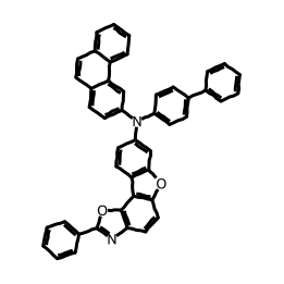 c1ccc(-c2ccc(N(c3ccc4c(c3)oc3ccc5nc(-c6ccccc6)oc5c34)c3ccc4ccc5ccccc5c4c3)cc2)cc1